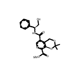 COC(=O)c1ncc(C(=O)N[C@H](CO)c2ccccc2)c2c1OC(C)(C)OC2